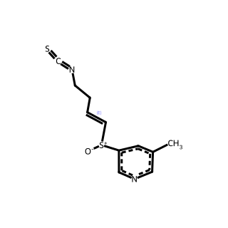 Cc1cncc([S+]([O-])/C=C/CCN=C=S)c1